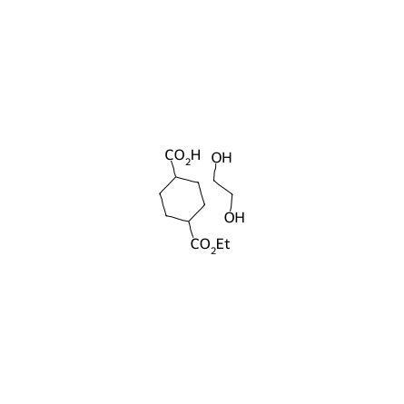 CCOC(=O)C1CCC(C(=O)O)CC1.OCCO